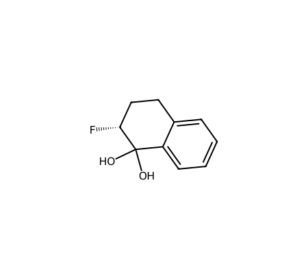 OC1(O)c2ccccc2CC[C@H]1F